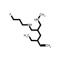 C=CC(CC)CC(CNC)CNCCCF